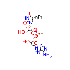 CCCc1cn([C@H]2C[C@@H](OP(=O)(S)OC[C@H]3O[C@@H](n4cnc5c(N)ncnc54)C[C@H]3O)[C@@H](CO)O2)c(=O)[nH]c1=O